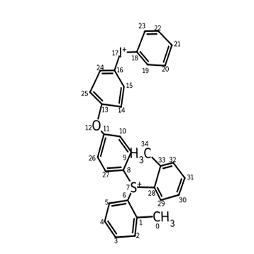 Cc1ccccc1[S+](c1ccc(Oc2ccc([I+]c3ccccc3)cc2)cc1)c1ccccc1C